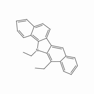 CCc1c2ccccc2cc2c3ccc4ccccc4c3n(CC)c12